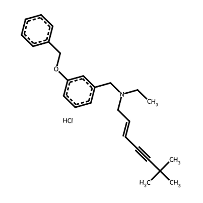 CCN(CC=CC#CC(C)(C)C)Cc1cccc(OCc2ccccc2)c1.Cl